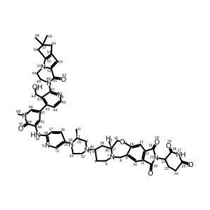 C[C@H]1CN([C@@H]2CCN3Cc4cc5c(cc4OC[C@H]3C2)C(=O)N(C2CCC(=O)NC2=O)C5=O)CCN1c1ccc(Nc2cc(-c3ccnc(N4CCn5c(cc6c5CC(C)(C)C6)C4=O)c3CO)cn(C)c2=O)nc1